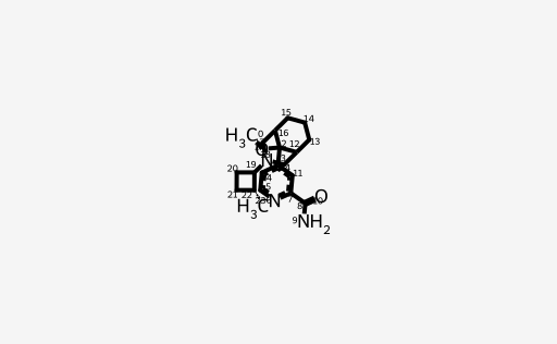 COC1(c2ccnc(C(N)=O)c2)C2CCCC1CN(C1CC[C@H]1C)C2